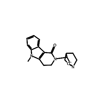 Cn1c2c(c3ccccc31)C(=O)N(C1CN3CCC1CC3)CC2